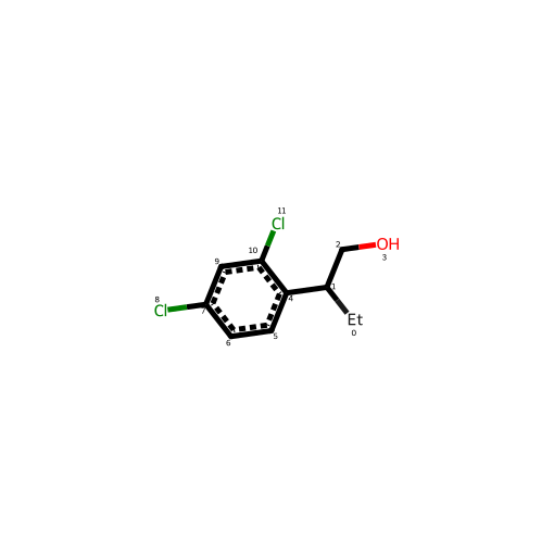 CCC(CO)c1ccc(Cl)cc1Cl